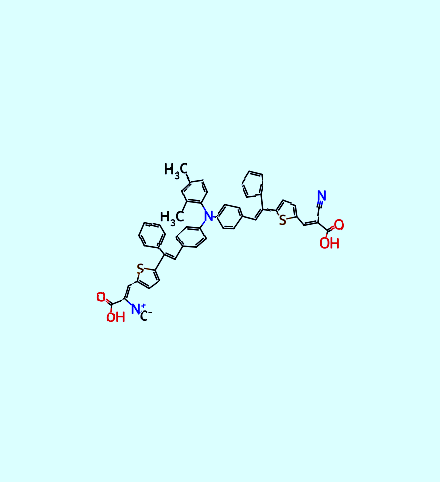 [C-]#[N+]/C(=C\c1ccc(/C(=C/c2ccc(N(c3ccc(/C=C(\c4ccccc4)c4ccc(/C=C(\C#N)C(=O)O)s4)cc3)c3ccc(C)cc3C)cc2)c2ccccc2)s1)C(=O)O